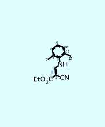 CCOC(=O)/C(C#N)=C/Nc1c(C)cccc1C